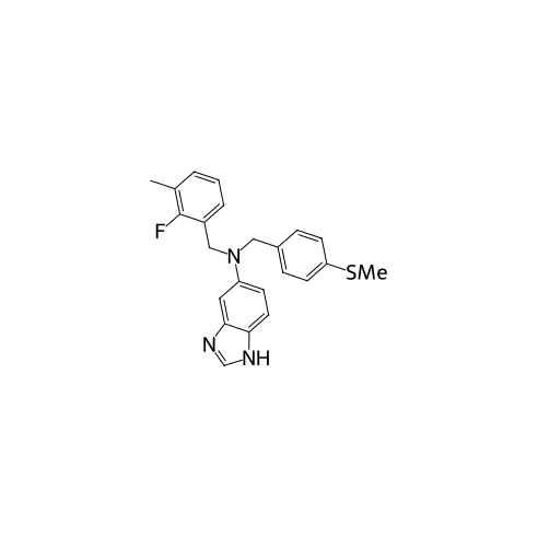 CSc1ccc(CN(Cc2cccc(C)c2F)c2ccc3[nH]cnc3c2)cc1